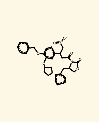 O=C(CC(C[N+](=O)[O-])c1ccc(OCc2ccccc2)c(OC2CCCC2)c1)N1C(=O)OCC1Cc1ccccc1